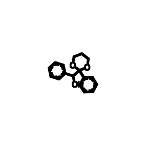 OC(c1ccccc1)C1(c2ccccc2)OCCCO1